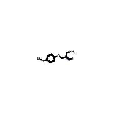 CCOc1ccc(OC/C(=C/F)CN)cc1